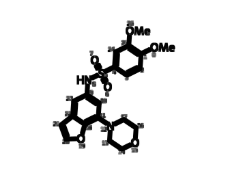 COc1ccc(S(=O)(=O)Nc2cc(N3CCOCC3)c3occc3c2)cc1OC